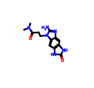 CN(C)C(=O)CCn1c(N)nc2cc3[nH]c(=O)[nH]c3cc21